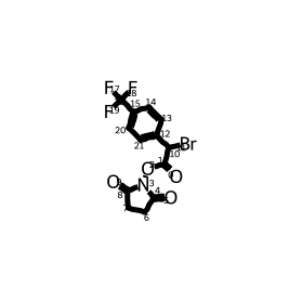 O=C(ON1C(=O)CCC1=O)C(Br)c1ccc(C(F)(F)F)cc1